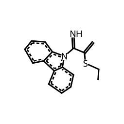 C=C(SCC)C(=N)n1c2ccccc2c2ccccc21